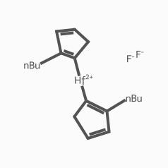 CCCCC1=[C]([Hf+2][C]2=C(CCCC)C=CC2)CC=C1.[F-].[F-]